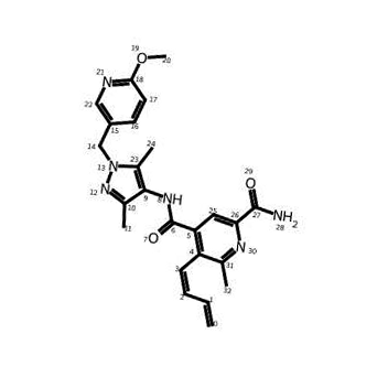 C=C/C=C\c1c(C(=O)Nc2c(C)nn(Cc3ccc(OC)nc3)c2C)cc(C(N)=O)nc1C